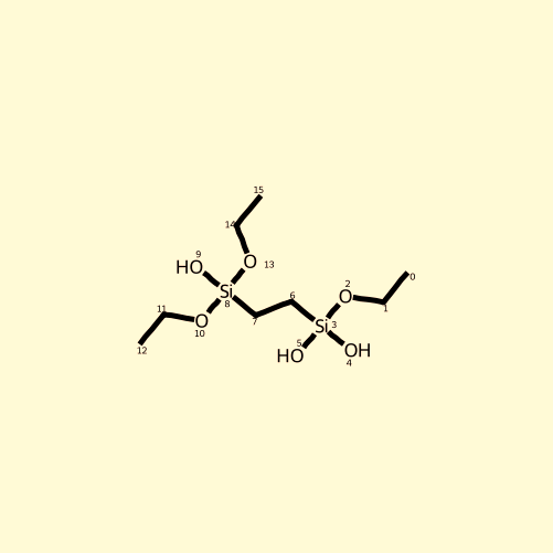 CCO[Si](O)(O)CC[Si](O)(OCC)OCC